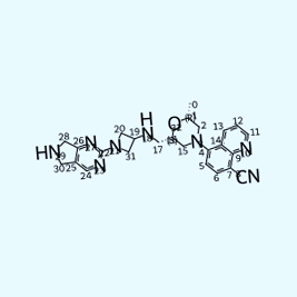 C[C@@H]1CN(c2ccc(C#N)c3ncccc23)C[C@H](CNC2CN(c3ncc4c(n3)CNC4)C2)O1